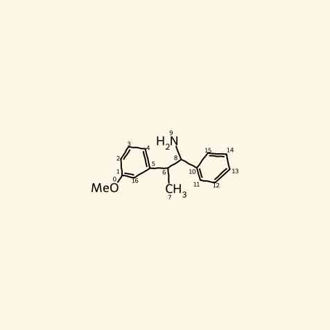 COc1cccc(C(C)C(N)c2ccccc2)c1